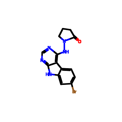 O=C1CCCN1Nc1ncnc2[nH]c3cc(Br)ccc3c12